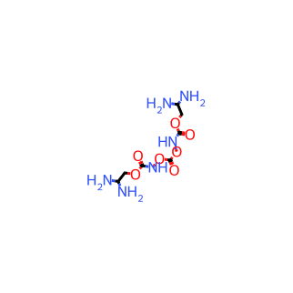 NC(N)COC(=O)NOC(=O)ONC(=O)OCC(N)N